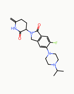 C=C1CCC(N2Cc3cc(N4CCN(C(C)C)CC4)c(F)cc3C2=O)C(=O)N1